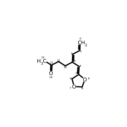 C=C/C=C(\C=C1/COCO1)CCC(C)=O